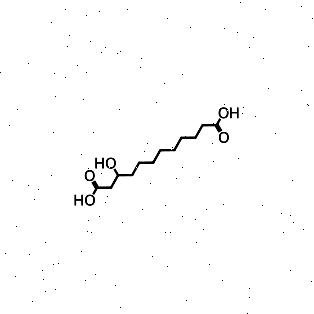 O=C(O)CCCCCCCCC(O)CC(=O)O